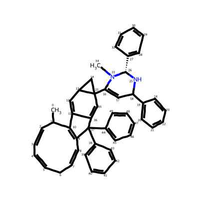 CC1/C=C\C=C/C/C=C\C2=C1C1=CC3CC3(C3=CC(c4ccccc4)N[C@@H](c4ccccc4)N3C)C=C1C2(c1ccccc1)c1ccccc1